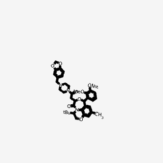 COc1cccc(C2OC(CC(=O)N3CCN(Cc4ccc5c(c4)OCO5)CC3)C(=O)N3c4c(cc(C)cc42)OCC3C(C)(C)C)c1OC